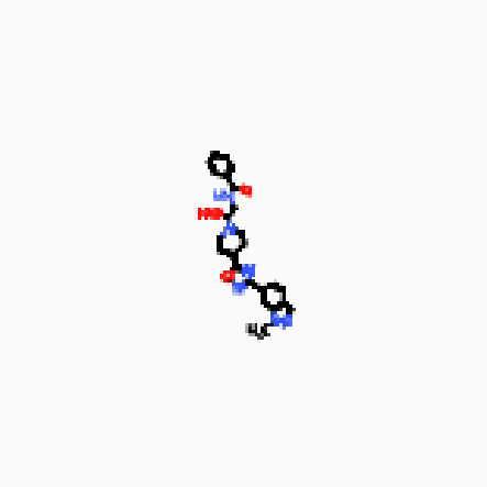 Cn1ncc2ccc(-c3noc(C4CCN(C(O)CNC(=O)c5ccccc5)CC4)n3)cc21